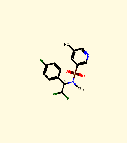 CN([C@H](c1ccc(Cl)cc1)C(F)F)S(=O)(=O)c1cncc(C#N)c1